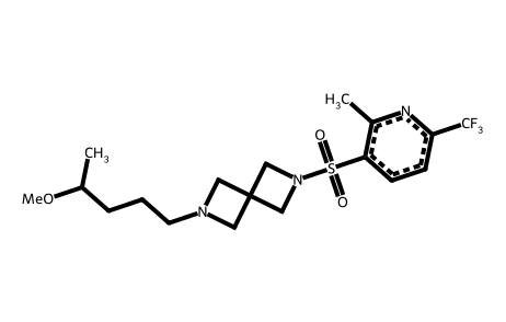 COC(C)CCCN1CC2(C1)CN(S(=O)(=O)c1ccc(C(F)(F)F)nc1C)C2